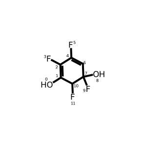 OC1=C(F)C(F)=CC(O)(F)C1F